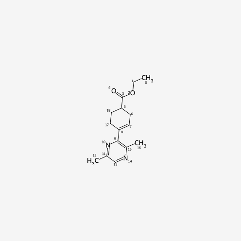 CCOC(=O)C1CC=C(c2nc(C)cnc2C)CC1